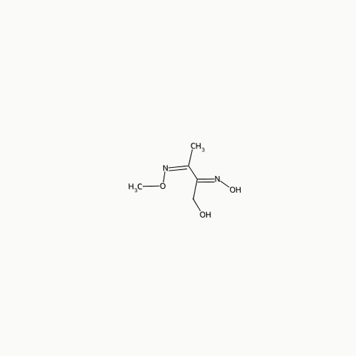 CO/N=C(C)\C(CO)=N\O